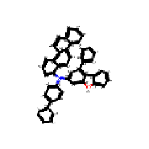 c1ccc(-c2ccc(N(c3cc(-c4ccccc4)c4c(c3)oc3ccccc34)c3cccc4c3ccc3c5ccccc5ccc43)cc2)cc1